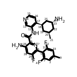 Cc1cc(F)c(-c2nc(C(=O)Nc3cnccc3[C@@H]3C[C@H](C)C[C@@H](N)C3)c(N)cc2F)c(F)c1